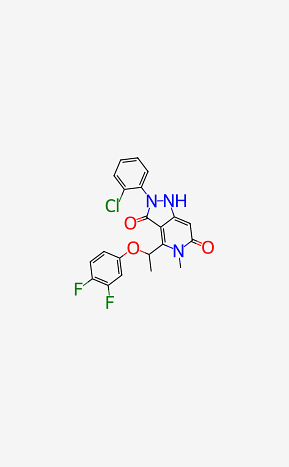 CC(Oc1ccc(F)c(F)c1)c1c2c(=O)n(-c3ccccc3Cl)[nH]c2cc(=O)n1C